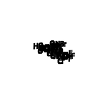 CCc1c(N2CCN(C(=O)O)CC2C)c(=O)n2nc(Br)nc2n1CC(=O)Nc1ccc(C(F)(F)F)cc1Cl